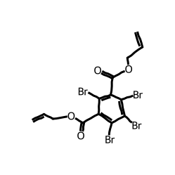 C=CCOC(=O)c1c(Br)c(Br)c(Br)c(C(=O)OCC=C)c1Br